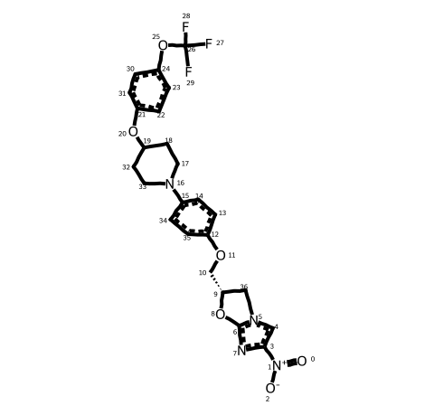 O=[N+]([O-])c1cn2c(n1)O[C@H](COc1ccc(N3CCC(Oc4ccc(OC(F)(F)F)cc4)CC3)cc1)C2